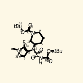 Cn1ncc(N(C2CCCN(C(=O)OC(C)(C)C)C2)S(=O)(=O)NC(=O)OC(C)(C)C)c1F